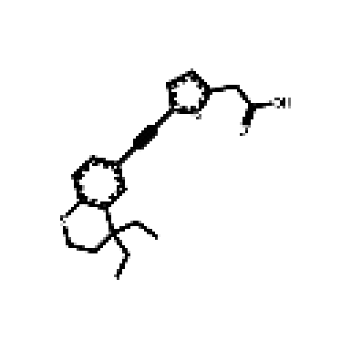 CCC1(CC)CCSc2ccc(C#Cc3ccc(CC(=O)O)s3)cc21